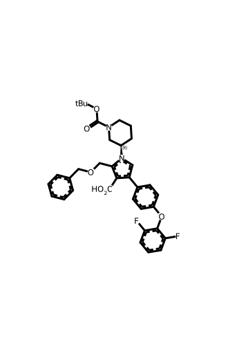 CC(C)(C)OC(=O)N1CCC[C@@H](n2cc(-c3ccc(Oc4c(F)cccc4F)cc3)c(C(=O)O)c2COCc2ccccc2)C1